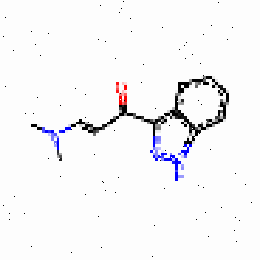 CN(C)C=CC(=O)c1n[nH]c2ccccc12